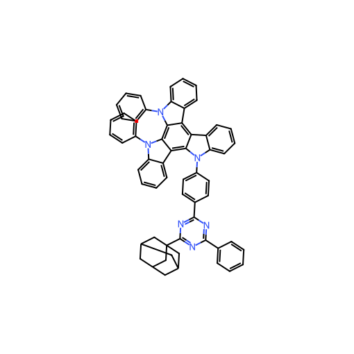 c1ccc(-c2nc(-c3ccc(-n4c5ccccc5c5c6c7ccccc7n(-c7ccccc7)c6c6c(c7ccccc7n6-c6ccccc6)c54)cc3)nc(C34CC5CC(CC(C5)C3)C4)n2)cc1